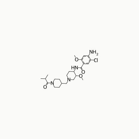 COc1cc(N)c(Cl)cc1C(=O)NC1CCN(CC2CCN(C(=O)C(C)C)CC2)CC1OC